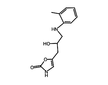 Cc1ccccc1NCC(O)Cc1c[nH]c(=O)o1